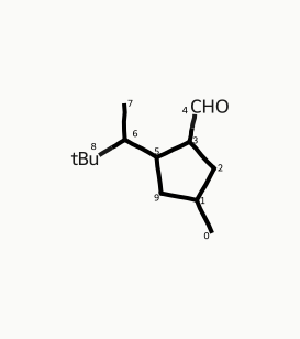 CC1CC(C=O)C(C(C)C(C)(C)C)C1